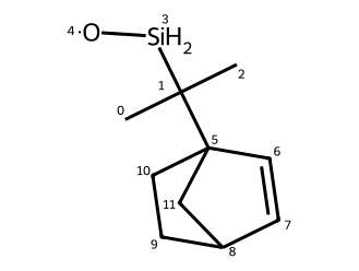 CC(C)([SiH2][O])C12C=CC(CC1)C2